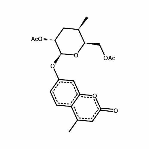 CC(=O)OC[C@H]1O[C@@H](Oc2ccc3c(C)cc(=O)oc3c2)[C@H](OC(C)=O)C[C@H]1C